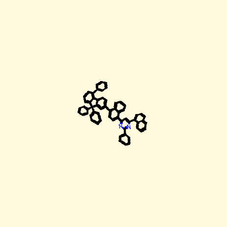 c1ccc(-c2nc(-c3cccc4ccccc34)cc(-c3ccc(-c4ccc5c(c4)C(c4ccccc4)(c4ccccc4)c4cccc(-c6ccccc6)c4-5)c4ccccc34)n2)cc1